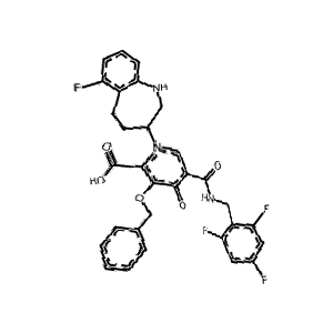 O=C(NCc1c(F)cc(F)cc1F)c1cn(C2CCc3c(F)cccc3NC2)c(C(=O)O)c(OCc2ccccc2)c1=O